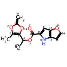 C=C1OC(C)=C(C(OC(=O)c2cc3occc3[nH]2)C(C)C)O1